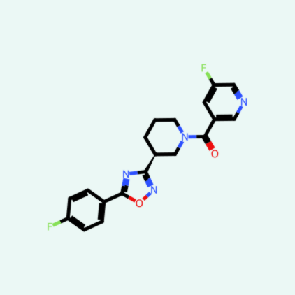 O=C(c1cncc(F)c1)N1CCC[C@H](c2noc(-c3ccc(F)cc3)n2)C1